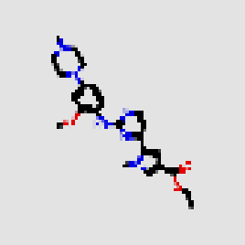 CCOC(=O)c1cc(-c2ccnc(Nc3ccc(N4CCN(C)CC4)cc3OC)n2)n(C)c1